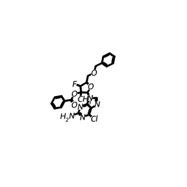 CC1(OC(=O)c2ccccc2)C(F)C(COCc2ccccc2)OC1n1cnc2c(Cl)nc(N)nc21